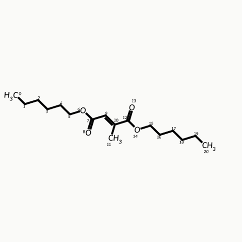 CCCCCCOC(=O)/C=C(\C)C(=O)OCCCCCC